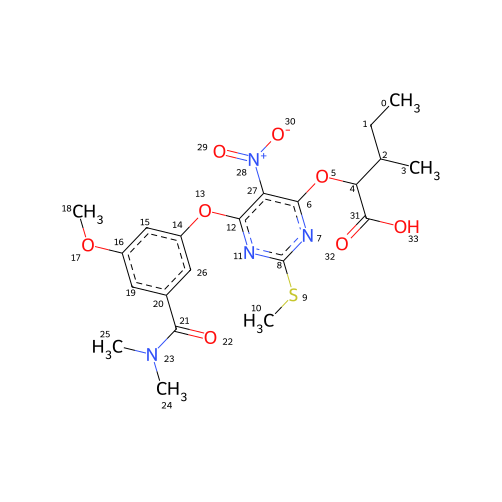 CCC(C)C(Oc1nc(SC)nc(Oc2cc(OC)cc(C(=O)N(C)C)c2)c1[N+](=O)[O-])C(=O)O